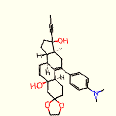 CC#C[C@@]1(O)CC[C@H]2[C@@H]3CC[C@@]4(O)CC5(CC[C@@H]4C3=C(c3ccc(N(C)C)cc3)C[C@@]21C)OCCO5